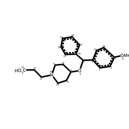 COc1ccc(C(OC2CCN(CCC(=O)O)CC2)c2ccccc2)cc1